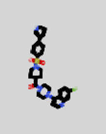 O=C(C1CCN(S(=O)(=O)c2ccc(-c3cccnc3)cc2)CC1)N1CCN(c2ccnc3cc(F)ccc23)CC1